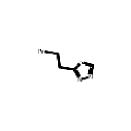 CC(C)CCc1nncs1